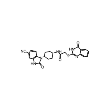 N#Cc1ccc2c(c1)[nH]c(=O)n2[C@H]1CC[C@H](NC(=O)CSc2nc3ccccc3c(=O)[nH]2)CC1